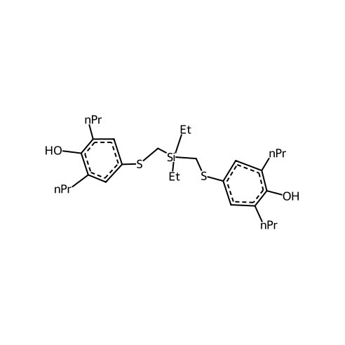 CCCc1cc(SC[Si](CC)(CC)CSc2cc(CCC)c(O)c(CCC)c2)cc(CCC)c1O